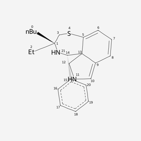 CCCC[C@@]1(CC)CSC2=CC=CC3=CNCC32[C@H](c2ccccc2)N1